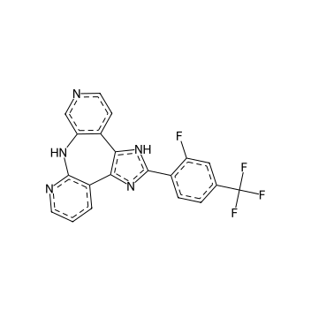 Fc1cc(C(F)(F)F)ccc1-c1nc2c([nH]1)-c1ccncc1Nc1ncccc1-2